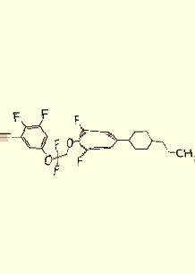 CCCC1CCC(c2cc(F)c(OCC(F)(F)Oc3cc(F)c(F)c(F)c3)c(F)c2)CC1